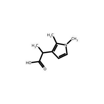 Cc1c(C(C)C(=O)O)ccn1C